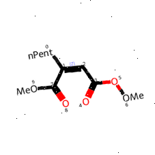 CCCCC/C(=C/C(=O)OOC)C(=O)OC